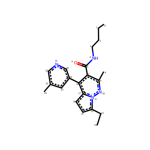 CCCCNC(=O)c1c(C)nn2c(CC)ccc2c1-c1cncc(C)c1